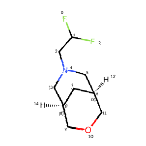 FC(F)CN1C[C@@H]2[CH][C@@H](COC2)C1